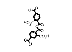 O=C(Cl)c1ccc(C(=O)OC(=O)c2ccc(C(=O)Cl)cc2C(=O)O)c(C(=O)O)c1